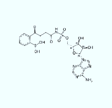 Nc1ncnc2c1ncn2[C@@H]1O[C@H](COS(=O)(=O)NC(=O)CCC(=O)c2ccccc2B(O)O)[C@@H](O)[C@H]1O